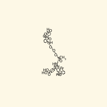 CN(CCOCCOCCOCCNc1cccc2c1C(=O)N(C1CCC(=O)NC1=O)C2=O)C(=O)CCNc1nc(N2CCN(C(=O)C(O)O)CC2)c2cc(Cl)c(-c3c(O)cccc3F)c(F)c2n1